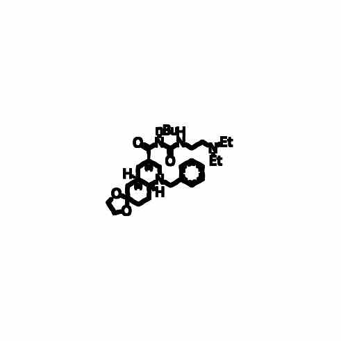 CCCCN(C(=O)NCCN(CC)CC)C(=O)[C@@H]1C[C@@H]2CC3(CC[C@H]2N(Cc2ccccc2)C1)OCCO3